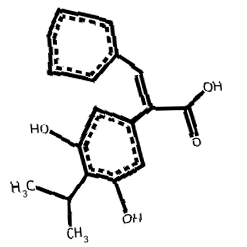 CC(C)c1c(O)cc(/C(=C\c2ccccc2)C(=O)O)cc1O